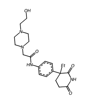 CCC1(c2ccc(NC(=O)CN3CCN(CCO)CC3)cc2)CCC(=O)NC1=O